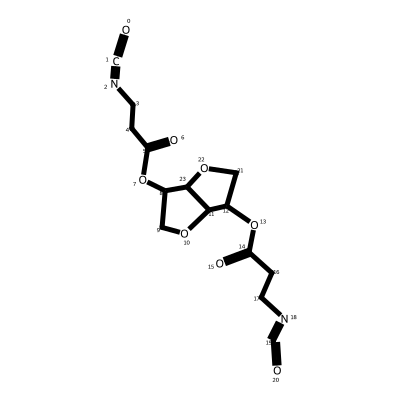 O=C=NCCC(=O)OC1COC2C(OC(=O)CCN=C=O)COC12